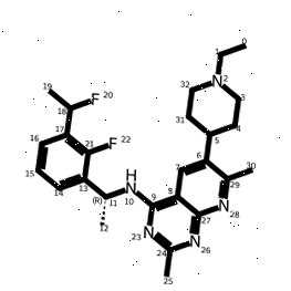 CCN1CCC(c2cc3c(N[C@H](C)c4cccc(C(C)F)c4F)nc(C)nc3nc2C)CC1